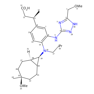 COCc1nc(Nc2cc([C@H](C)CC(=O)O)ccc2N(CC(C)C)[C@H]2C3CC[C@@](C)(OC)CC[C@H]32)n[nH]1